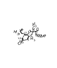 CNC(=O)C(C)(C)Oc1ccc(Cl)cc1C